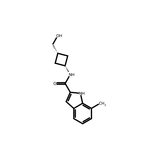 Cc1cccc2cc(C(=O)N[C@H]3C[C@@H](CO)C3)[nH]c12